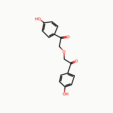 O=C(COCC(=O)c1ccc(O)cc1)c1ccc(O)cc1